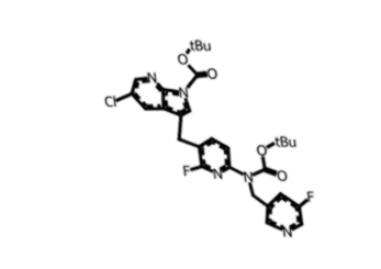 CC(C)(C)OC(=O)N(Cc1cncc(F)c1)c1ccc(Cc2cn(C(=O)OC(C)(C)C)c3ncc(Cl)cc23)c(F)n1